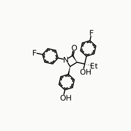 CC[C@@](O)(c1ccc(F)cc1)[C@@H]1C(=O)N(c2ccc(F)cc2)[C@@H]1c1ccc(O)cc1